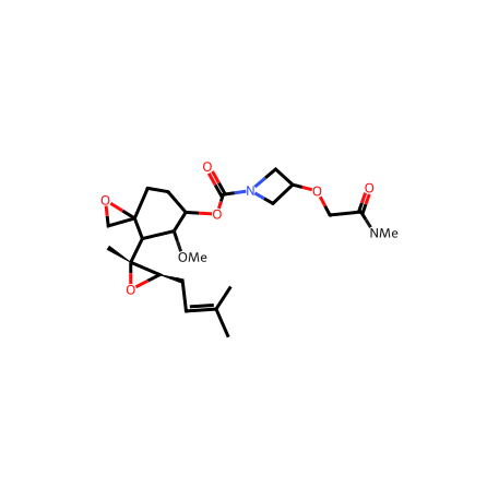 CNC(=O)COC1CN(C(=O)OC2CCC3(CO3)C([C@@]3(C)O[C@@H]3CC=C(C)C)C2OC)C1